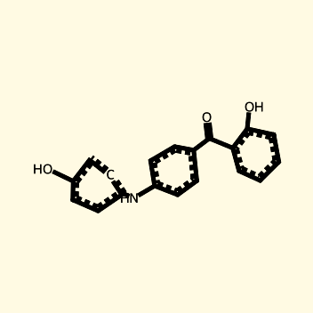 O=C(c1ccc(Nc2ccc(O)cc2)cc1)c1ccccc1O